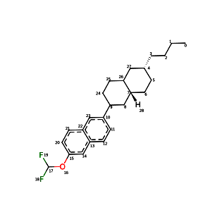 CCCC[C@@H]1CC[C@@H]2CC(c3ccc4cc(OC(F)F)ccc4c3)CCC2C1